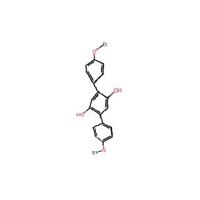 CCOc1ccc(-c2cc(O)c(-c3ccc(OCC)cc3)cc2O)cc1